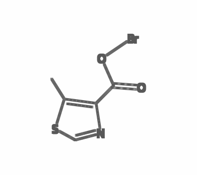 Cc1scnc1C(=O)OBr